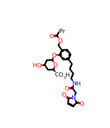 CC(C)C(=O)OCc1ccc(CCCCNC(=O)CN2C(=O)C=CC2=O)cc1OC1CC(O)CC(C(=O)O)O1